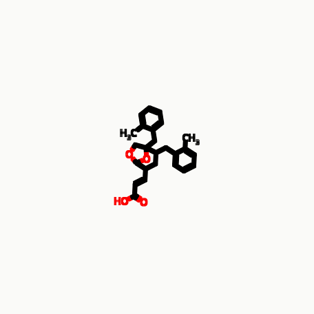 Cc1ccccc1CC1CC(C=CC(=O)O)C2OCC1(Cc1ccccc1C)O2